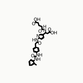 Cc1ccccc1NC(=O)Nc1ccc(CC(=O)Nc2ccc(C(CC(=O)O)NC(=O)CCCC(=O)O)cn2)cc1